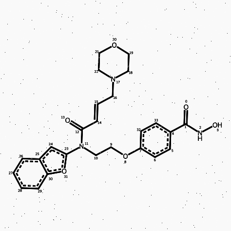 O=C(NO)c1ccc(OCCN(C(=O)/C=C/CN2CCOCC2)c2cc3ccccc3o2)cc1